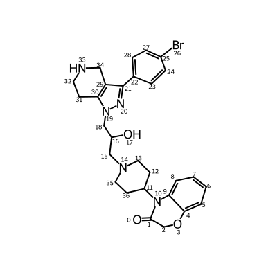 O=C1COc2ccccc2N1C1CCN(CC(O)Cn2nc(-c3ccc(Br)cc3)c3c2CCNC3)CC1